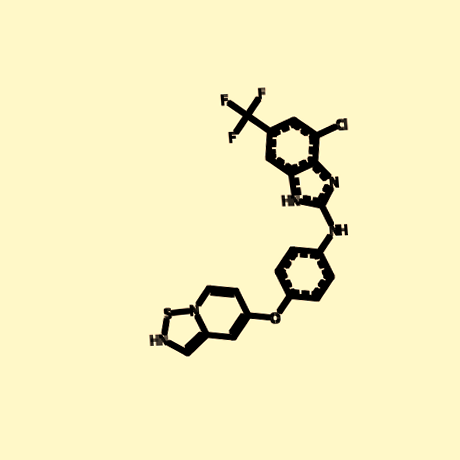 FC(F)(F)c1cc(Cl)c2nc(Nc3ccc(OC4=CC5=CNSN5C=C4)cc3)[nH]c2c1